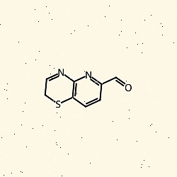 O=Cc1ccc2c(n1)N=CCS2